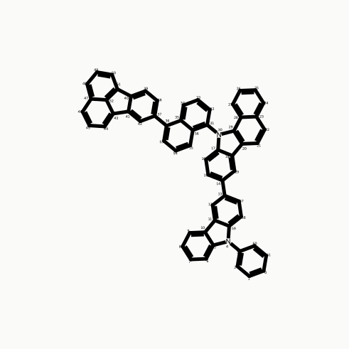 c1ccc(-n2c3ccccc3c3cc(-c4ccc5c(c4)c4ccc6ccccc6c4n5-c4cccc5c(-c6ccc7c(c6)-c6cccc8cccc-7c68)cccc45)ccc32)cc1